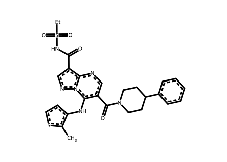 CCS(=O)(=O)NC(=O)c1cnn2c(Nc3ccsc3C)c(C(=O)N3CCC(c4ccccc4)CC3)cnc12